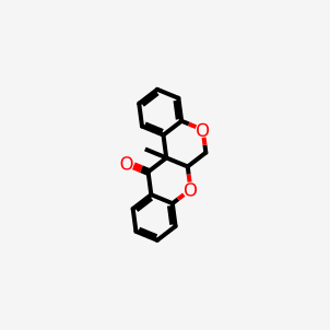 CC12C(=O)c3ccccc3OC1COc1ccccc12